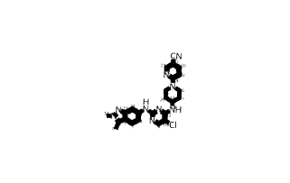 Cc1c2ccc(Nc3ncc(Cl)c(NC4CCN(c5ccc(C#N)cn5)CC4)n3)cc2nn1C